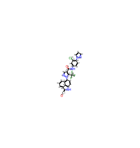 O=C=c1[nH]c2ccc(-n3ncc(C(=O)Nc4ccc(-n5cccn5)c(Cl)c4)c3C(F)(F)F)c3cccc1c23